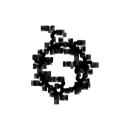 NC(CSCC1O[C@H]2O[C@@H]3C(CO)O[C@H](O[C@@H]4C(CO)O[C@H](O[C@@H]5C(CO)O[C@H](O[C@@H]6C(CSC[C@@H](N)C(=O)O)O[C@H](O[C@@H]7C(CO)O[C@H](O[C@@H]8C(CO)O[C@@H](O[C@@H]1C(O)[C@@H]2O)[C@@H](O)C8O)[C@@H](O)C7O)C(O)[C@H]6O)C(O)[C@H]5O)[C@@H](O)C4O)[C@@H](O)C3O)C(=O)O